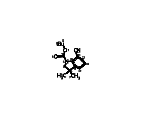 CC(C)(C)OC(=O)N1CC(C)(C)c2cccc(C#N)c21